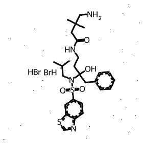 Br.Br.CC(C)CN(C(O)(CCNC(=O)CC(C)(C)CN)Cc1ccccc1)S(=O)(=O)c1ccc2ncsc2c1